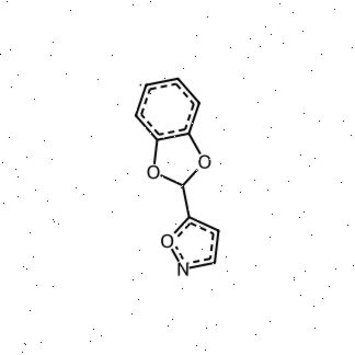 [c]1ccc2c(c1)OC(c1ccno1)O2